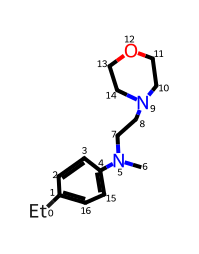 CCc1ccc(N(C)CCN2CCOCC2)cc1